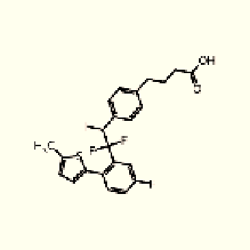 Cc1ccc(-c2ccc(F)cc2C(F)(F)C(I)c2ccc(CCCC(=O)O)cc2)s1